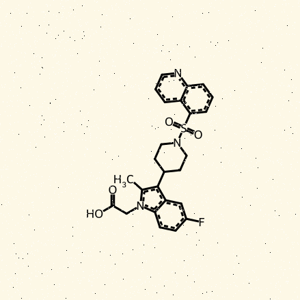 Cc1c(C2CCN(S(=O)(=O)c3cccc4ncccc34)CC2)c2cc(F)ccc2n1CC(=O)O